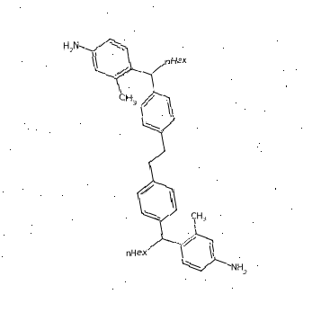 CCCCCCC(c1ccc(CCc2ccc(C(CCCCCC)c3ccc(N)cc3C)cc2)cc1)c1ccc(N)cc1C